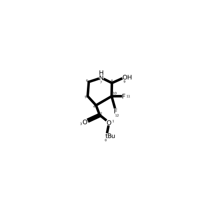 CC(C)(C)OC(=O)C1CCNC(O)C1(F)F